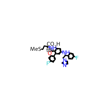 CSCC[C@@](NC(=O)c1ccc(NC(Cn2ccnc2)c2ccc(F)cc2)cc1-c1ccc(F)cc1)(C(=O)O)C(C)(C)C